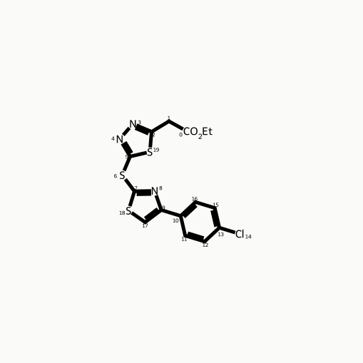 CCOC(=O)Cc1nnc(Sc2nc(-c3ccc(Cl)cc3)cs2)s1